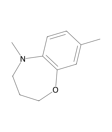 Cc1ccc2c(c1)OCCCN2C